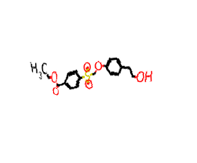 CCOC(=O)c1ccc(S(=O)(=O)COc2ccc(CCO)cc2)cc1